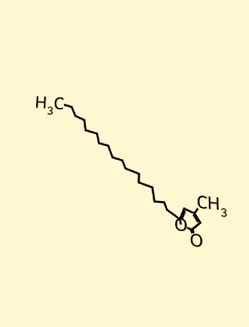 CCCCCCCCCCCCCCCCCc1cc(C)cc(=O)o1